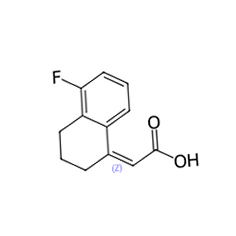 O=C(O)/C=C1/CCCc2c(F)cccc21